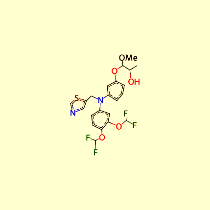 COC(Oc1cccc(N(Cc2cncs2)c2ccc(OC(F)F)c(OC(F)F)c2)c1)C(C)O